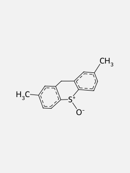 Cc1ccc2c(c1)Cc1cc(C)ccc1[S+]2[O-]